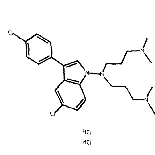 CN(C)CCCN(CCCN(C)C)n1cc(-c2ccc(Cl)cc2)c2cc(Cl)ccc21.Cl.Cl